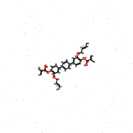 C=C(C)C(=O)Oc1ccc(-c2ccc(-c3ccc(OC(=O)C(=C)C)c(OC/C=C/C)c3)cc2)cc1OC/C=C/C